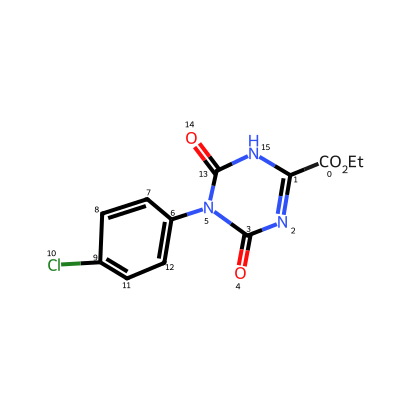 CCOC(=O)c1nc(=O)n(-c2ccc(Cl)cc2)c(=O)[nH]1